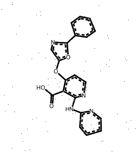 O=C(O)c1c(Oc2cnc(-c3ccccc3)o2)ccnc1Nc1ccccn1